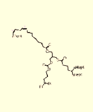 CCCCC/C=C\C/C=C\CCCCCCCC(=O)OCC(COC(=O)CCCC(CCCCCCC)CCCCCCC)COC(=O)OCCCN(CC)CC